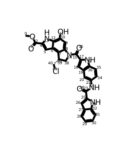 COC(=O)c1cc2c3c(cc(O)c2[nH]1)N(C(=O)c1cc2cc(NC(=O)c4cc5ccccc5[nH]4)ccc2[nH]1)C[C@@H]3CCl